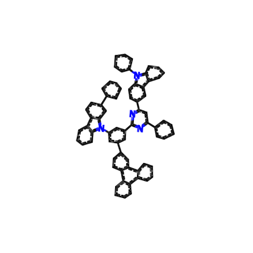 c1ccc(-c2ccc3c4ccccc4n(-c4cc(-c5ccc6c7ccccc7c7ccccc7c6c5)cc(-c5nc(-c6ccccc6)cc(-c6ccc7c(c6)c6ccccc6n7-c6ccccc6)n5)c4)c3c2)cc1